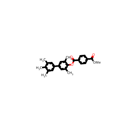 COC(=O)c1ccc(C(=O)Oc2c(C)cc(-c3cc(C)c(C)c(C)c3)cc2C)cc1